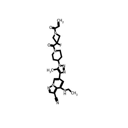 C=CC(=O)N1CC(F)(C(=O)N2CCC(n3nnc(-c4cc(NCC)c5c(C#N)cnn5c4)c3C)CC2)C1